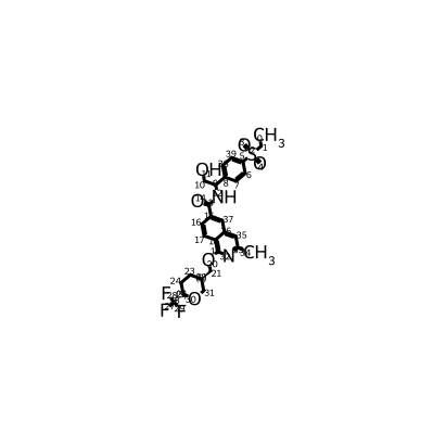 CCS(=O)(=O)c1ccc(C(CO)NC(=O)c2ccc3c(OC[C@@H]4CC[C@@H](C(F)(F)F)OC4)nc(C)cc3c2)cc1